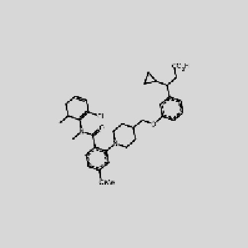 COc1ccc(C(=O)N(C)C2=C(Cl)C=CCC2C)c(N2CCC(COc3cccc(C(CC(=O)O)C4CC4)c3)CC2)c1